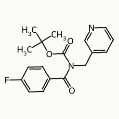 CC(C)(C)OC(=O)N(Cc1cccnc1)C(=O)c1ccc(F)cc1